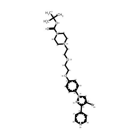 CC(C)(C)OC(=O)N1CCN(CCOCCOc2ccc(-n3cc(Br)c(-c4ccncc4)n3)cc2)CC1